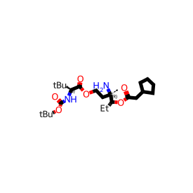 CCC(OC(=O)CC1CCCC1)[C@](C)(N)CCOC(=O)[C@@H](NC(=O)OC(C)(C)C)C(C)(C)C